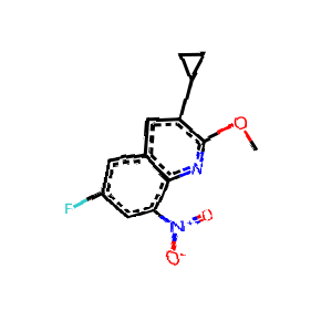 COc1nc2c([N+](=O)[O-])cc(F)cc2cc1C1CC1